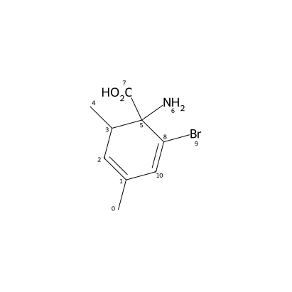 CC1=CC(C)C(N)(C(=O)O)C(Br)=C1